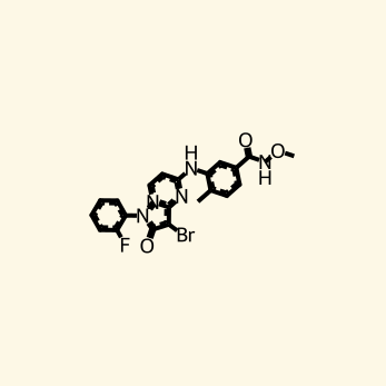 CONC(=O)c1ccc(C)c(Nc2ccn3c(n2)c(Br)c(=O)n3-c2ccccc2F)c1